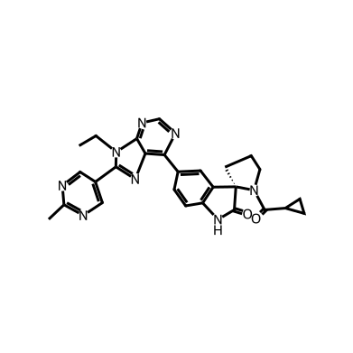 CCn1c(-c2cnc(C)nc2)nc2c(-c3ccc4c(c3)[C@]3(CCCN3C(=O)C3CC3)C(=O)N4)ncnc21